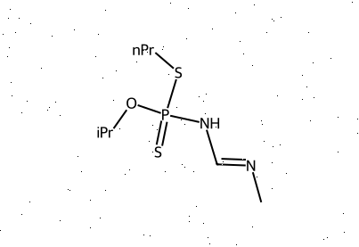 CCCSP(=S)(NC=NC)OC(C)C